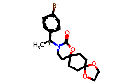 C[C@@H](c1ccc(Br)cc1)N1CCC2(CCC3(CC2)OCCO3)OC1=O